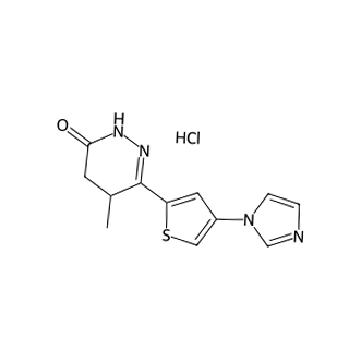 CC1CC(=O)NN=C1c1cc(-n2ccnc2)cs1.Cl